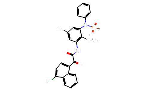 COc1c(NC(=O)C(=O)c2ccc(Br)c3ccccc23)cc(C(C)(C)C)cc1N(c1ccccc1)S(C)(=O)=O